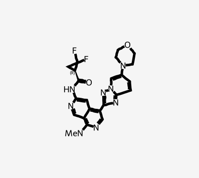 CNc1ncc(-c2nc3ccc(N4CCOCC4)cn3n2)c2cc(NC(=O)[C@H]3CC3(F)F)ncc12